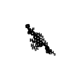 C=C(C)[C@@H]1CC[C@]2(NCCN3CCC(S(C)(=O)=O)CC3)CC[C@]3(C)[C@H](CCC4[C@@]5(C)CC=C(C6=CC[C@@](CF)(C(=O)OCc7ccccc7)CC6)C(C)(C)C5CC[C@]43C)C12